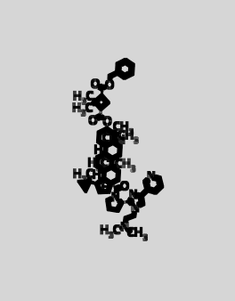 CN(C)CCn1cc(-c2cccnc2)nc1[C@@H]1CCCN1C(=O)[C@]12CC[C@@H](C3(C)CC3)[C@@H]1[C@H]1CC[C@@H]3[C@@]4(C)CC[C@H](OC(=O)[C@H]5C[C@@H](C(=O)OCc6ccccc6)C5(C)C)C(C)(C)[C@@H]4CC[C@@]3(C)[C@]1(C)CC2